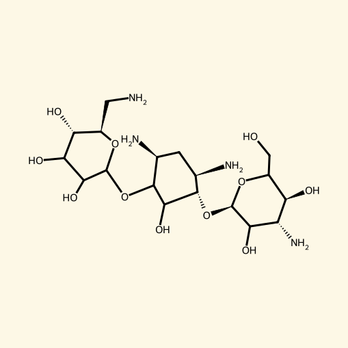 NC[C@H]1OC(OC2C(O)[C@@H](O[C@H]3OC(CO)[C@@H](O)[C@H](N)C3O)[C@H](N)C[C@@H]2N)C(O)C(O)[C@@H]1O